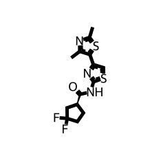 Cc1nc(C)c(-c2csc(NC(=O)[C@H]3CCC(F)(F)C3)n2)s1